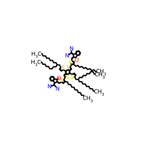 CCCCCCCCCCCCc1cc(/C=C2\C(=O)c3ccccc3C2=C(C#N)C#N)sc1-c1cc2c(-c3ccc(CC(CCCCCCCCCC)CCCCCCCCCC)s3)c3sc(-c4sc(/C=C5\C(=O)c6ccccc6C5=C(C#N)C#N)cc4CCCCCCCCCCCC)cc3c(-c3ccc(CC(CCCCCCCCCC)CCCCCCCCCC)s3)c2s1